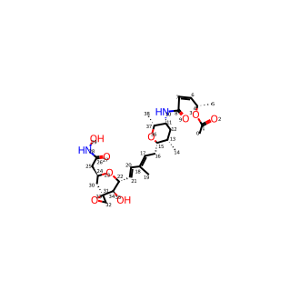 CC(=O)O[C@@H](C)/C=C\C(=O)N[C@@H]1C[C@H](C)[C@H](C/C=C(C)/C=C/[C@H]2O[C@H](CC(=O)NO)C[C@@]3(CO3)[C@@H]2O)O[C@@H]1C